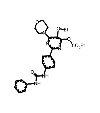 CCOC(=O)Oc1nc(-c2ccc(NC(=O)Nc3ccccc3)cc2)nc(N2CCOCC2)c1OCC